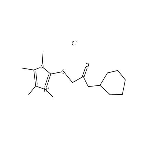 Cc1c(C)[n+](C)c(SCC(=O)CC2CCCCC2)n1C.[Cl-]